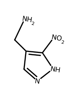 NCc1cn[nH]c1[N+](=O)[O-]